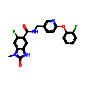 Cn1c(=O)[nH]c2cc(C(=O)NCc3ccc(Oc4ccccc4F)nc3)c(F)cc21